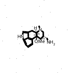 CO[C@]12C[C@@H](CN)CN(C)[C@@H]1Cc1c[nH]c3cccc2c13